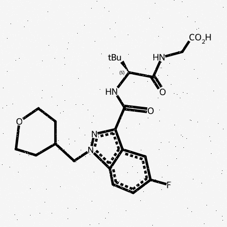 CC(C)(C)[C@H](NC(=O)c1nn(CC2CCOCC2)c2ccc(F)cc12)C(=O)NCC(=O)O